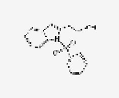 O=S(=O)(c1ccccc1)n1c(CCO)cc2ccccc21